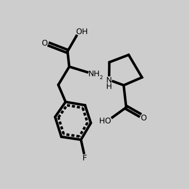 NC(Cc1ccc(F)cc1)C(=O)O.O=C(O)C1CCCN1